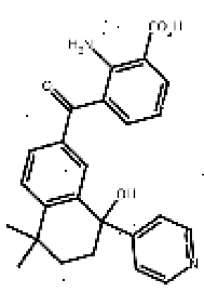 CC1(C)CCC(O)(c2ccncc2)c2cc(C(=O)c3cccc(C(=O)O)c3N)ccc21